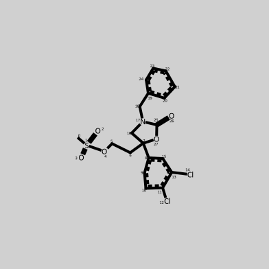 CS(=O)(=O)OCCC1(c2ccc(Cl)c(Cl)c2)CN(Cc2ccccc2)C(=O)O1